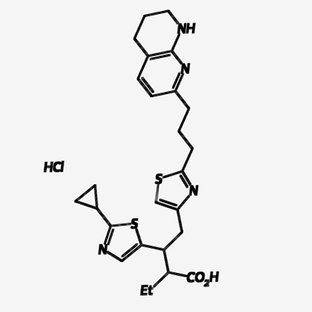 CCC(C(=O)O)C(Cc1csc(CCCc2ccc3c(n2)NCCC3)n1)c1cnc(C2CC2)s1.Cl